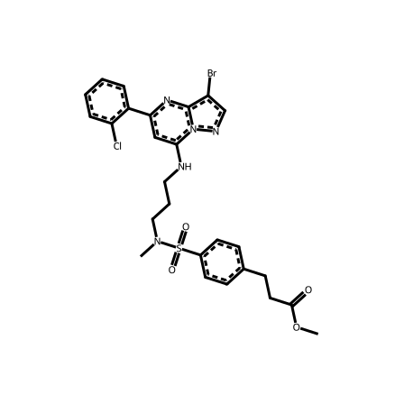 COC(=O)CCc1ccc(S(=O)(=O)N(C)CCCNc2cc(-c3ccccc3Cl)nc3c(Br)cnn23)cc1